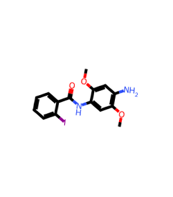 COc1cc(NC(=O)c2ccccc2I)c(OC)cc1N